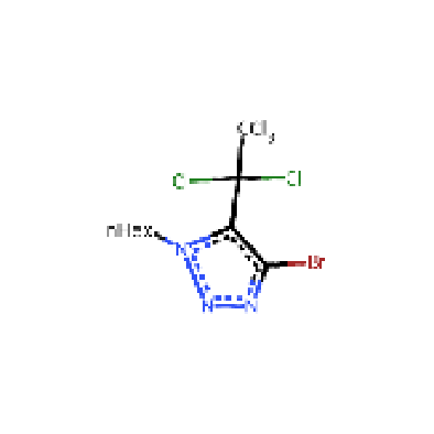 CCCCCCn1nnc(Br)c1C(Cl)(Cl)C(Cl)(Cl)Cl